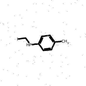 Cc1ccc(PCI)cc1